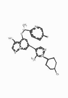 C[C@@H](Oc1cc(-c2cnn(C3CCC(O)CC3)c2N)cn2ncc(C#N)c12)c1ccc(F)cn1